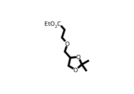 CCOC(=O)CCOCC1COC(C)(C)O1